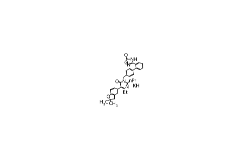 CCCc1nc(CC)c(-c2ccc3c(c2)CC(C)(C)O3)c(=O)n1Cc1ccc(-c2ccccc2-c2noc(=O)[nH]2)cc1.[KH]